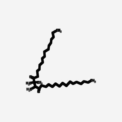 CCCCCCCCCCCCCCCC(=O)C(C)C(C)(C)C(=O)CCCCCCCCCCCCCCC